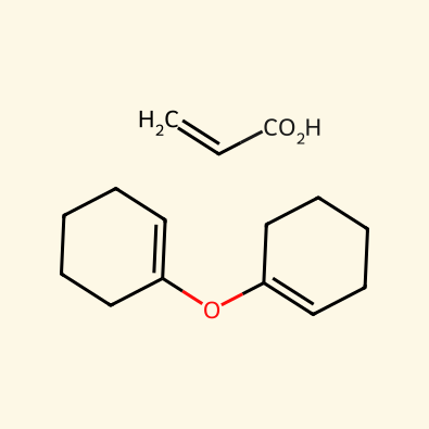 C1=C(OC2=CCCCC2)CCCC1.C=CC(=O)O